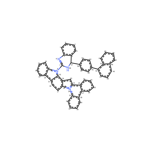 c1ccc2c(c1)N=C(n1c3ccccc3c3ccc4c(cc5c6ccccc6c6ccccc6n54)c31)NC2c1ccc(-c2cccc3ccccc23)cc1